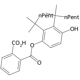 CCCCCC(C)(C)c1c(O)ccc(OC(=O)c2ccccc2C(=O)O)c1C(C)(C)CCCCC